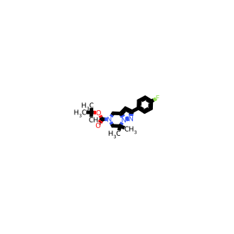 CC(C)(C)OC(=O)N1Cc2cc(-c3ccc(F)cc3)nn2C(C)(C)C1